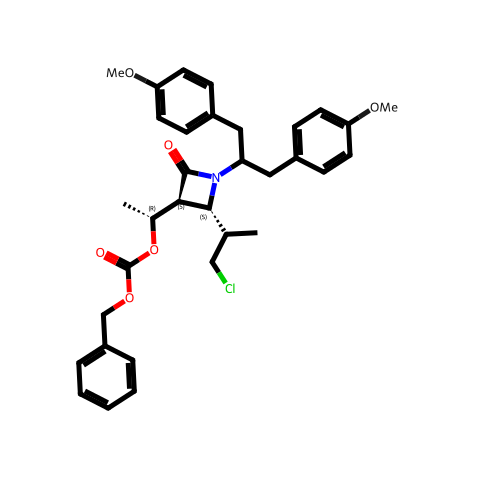 COc1ccc(CC(Cc2ccc(OC)cc2)N2C(=O)[C@H]([C@@H](C)OC(=O)OCc3ccccc3)[C@H]2C(C)CCl)cc1